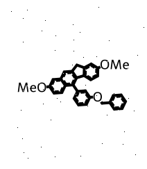 COc1ccc2c(c1)Cc1cc3cc(OC)ccc3c(-c3cccc(OCc4ccccc4)c3)c1-2